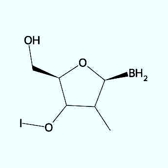 B[C@@H]1O[C@H](CO)C(OI)C1C